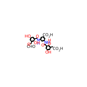 O=COCc1cc(O)cc(C(=O)Nc2cc(NC(=O)c3cc(O)cc(CC(=O)O)c3O)cc(C(=O)O)c2)c1O